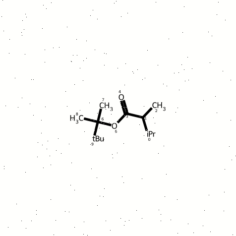 CC(C)C(C)C(=O)OC(C)(C)C(C)(C)C